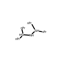 CCC[SiH](CCC)N[SiH](CCC)CCC